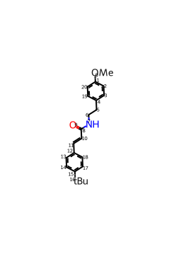 COc1ccc(CCNC(=O)C=Cc2ccc(C(C)(C)C)cc2)cc1